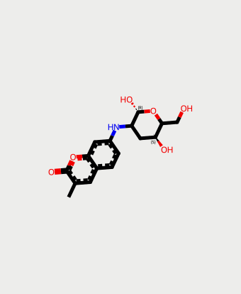 Cc1cc2ccc(NC3C[C@H](O)C(CO)O[C@H]3O)cc2oc1=O